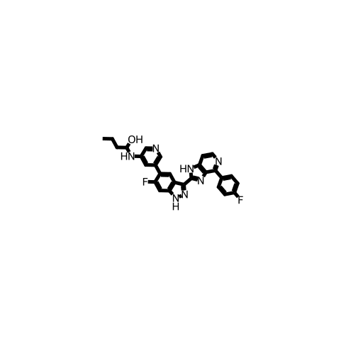 CCCC(O)Nc1cncc(-c2cc3c(-c4nc5c(-c6ccc(F)cc6)nccc5[nH]4)n[nH]c3cc2F)c1